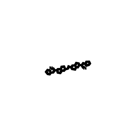 C(=C\c1ccc2cc(-c3cnc4ccccc4c3)ccc2c1)/c1ccc2cc(-c3cnc4ccccc4c3)ccc2c1